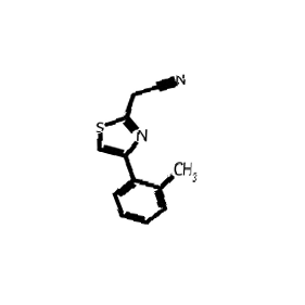 Cc1ccccc1-c1csc(CC#N)n1